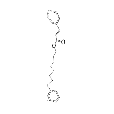 O=C(C=Cc1ccccc1)OCCCCCCCCc1c[c]ccc1